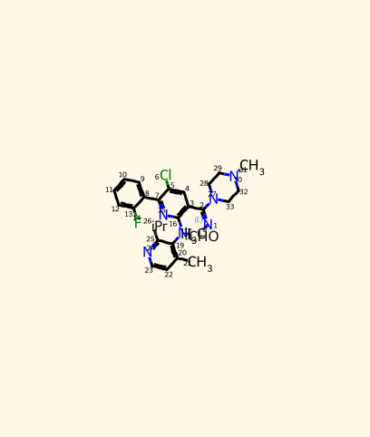 C/N=C(\c1cc(Cl)c(-c2ccccc2F)nc1N(C=O)c1c(C)ccnc1C(C)C)N1CCN(C)CC1